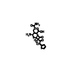 COC1(C(=O)Cc2cccs2)C(=O)N2C(C(=O)O)=C(COC(N)=O)[C@H](N)S[C@@H]21